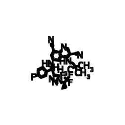 [2H][C@](Nc1cc(C#N)c2ncc(C#N)c(NCC(C)(C)C)c2c1)(c1ccc(F)cc1)c1cn(C2(C(F)(F)F)CC2)nn1